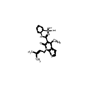 CC(C)=CCn1c(=O)c(C2=NS(O)(O)c3ccccc3N2)c(O)c2ccsc21